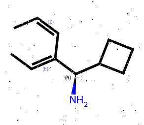 C/C=C\C(=C/C)[C@H](N)C1CCC1